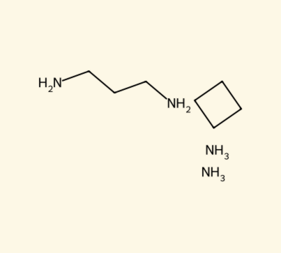 C1CCC1.N.N.NCCCN